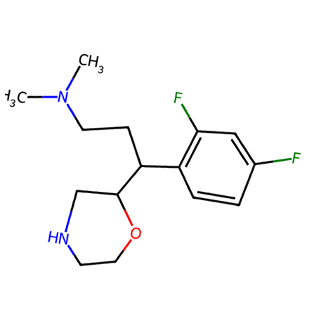 CN(C)CCC(c1ccc(F)cc1F)C1CNCCO1